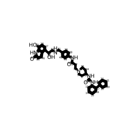 O=C(CCN1CCC(NC(=O)Nc2ccccc2-c2ccccc2)CC1)Nc1ccc(CNC[C@@H](O)c2ccc(O)c3[nH]c(=O)ccc23)cc1